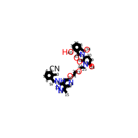 Cc1c(C#N)cccc1[C@@H](C)Nc1nnc(C)c2cnc(OCCOCCN3C(=O)CCC(N4C(=O)c5cccc(O)c5C4=O)C3=O)cc12